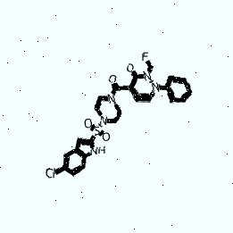 O=C(C1C=CN(c2ccccc2)N(CF)C1=O)N1CCN(S(=O)(=O)c2cc3cc(Cl)ccc3[nH]2)CC1